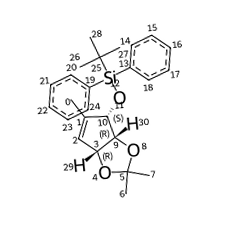 CC1=C[C@H]2OC(C)(C)O[C@H]2[C@H]1O[Si](c1ccccc1)(c1ccccc1)C(C)(C)C